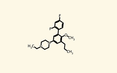 CCCc1cc(N2CCN(CC)CC2)cc(-c2ccc(F)cc2F)c1OC